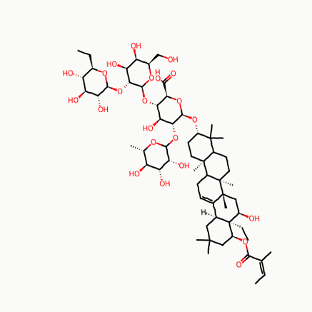 C/C=C(/C)C(=O)O[C@H]1CC(C)(C)C[C@H]2C3=CCC4[C@@]5(C)CC[C@H](O[C@@H]6O[C@H](C(=O)O)[C@@H](O[C@@H]7O[C@H](CO)[C@H](O)[C@H](O)[C@H]7O[C@@H]7O[C@H](CC)[C@@H](O)[C@H](O)[C@H]7O)[C@H](O)[C@H]6OC6O[C@@H](C)[C@H](O)[C@@H](O)[C@H]6O)C(C)(C)C5CC[C@@]4(C)[C@]3(C)C[C@@H](O)[C@@]12CC